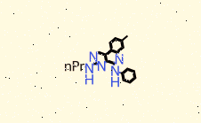 CCCNc1ncc2c(n1)c(Nc1ccccc1)nc1cc(C)ccc12